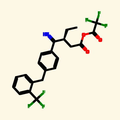 CC[C@@H](CC(=O)OC(=O)C(F)(F)F)C(=N)c1ccc(Cc2ccccc2C(F)(F)F)cc1